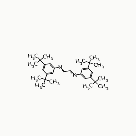 CC(C)(C)c1cc(N=CC=Nc2cc(C(C)(C)C)cc(C(C)(C)C)c2)cc(C(C)(C)C)c1